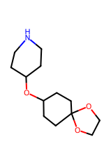 C1CC(OC2CCC3(CC2)OCCO3)CCN1